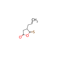 C=CCC1CC(=O)OC1=S